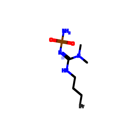 CC(C)CCCN/C(=N/S(N)(=O)=O)N(C)C